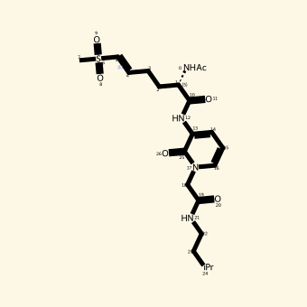 CC(=O)N[C@@H](CC/C=C/S(C)(=O)=O)C(=O)Nc1cccn(CC(=O)NCCC(C)C)c1=O